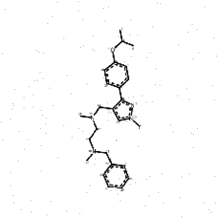 CC(C)Oc1ccc(-c2nn(C)cc2CN(C)CCN(C)Cc2ccccc2)cc1